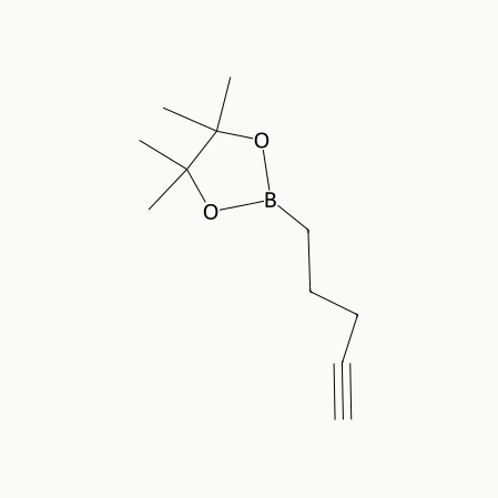 C#CCCCB1OC(C)(C)C(C)(C)O1